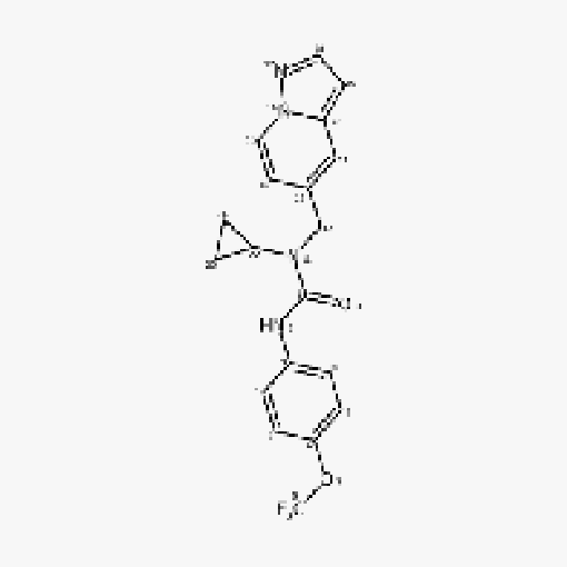 O=C(Nc1ccc(OC(F)(F)F)cc1)N(Cc1ccn2nccc2c1)C1CC1